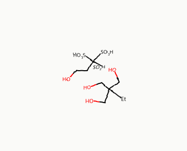 CCC(CO)(CO)CO.O=S(=O)(O)C(CCO)(S(=O)(=O)O)S(=O)(=O)O